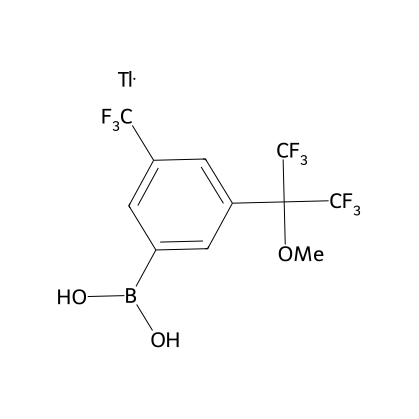 COC(c1cc(B(O)O)cc(C(F)(F)F)c1)(C(F)(F)F)C(F)(F)F.[Tl]